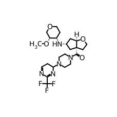 CO[C@@H]1COCC[C@@H]1N[C@@H]1C[C@H]2OCC[C@@]2(C(=O)N2CCN(C3CC=NC(C(F)(F)F)=N3)CC2)C1